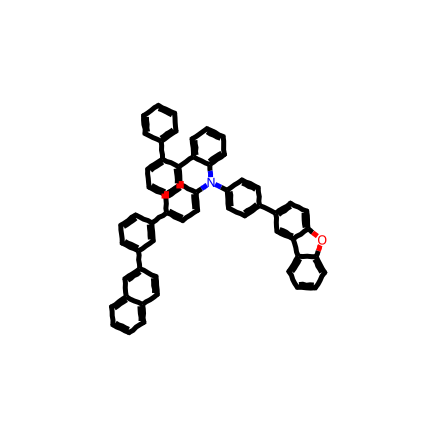 c1ccc(-c2ccccc2-c2ccccc2N(c2ccc(-c3cccc(-c4ccc5ccccc5c4)c3)cc2)c2ccc(-c3ccc4oc5ccccc5c4c3)cc2)cc1